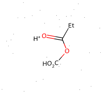 CCC(=O)OC(=O)O.[H+]